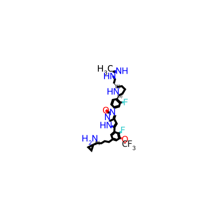 CC(=N)NCC[C@@H]1CCC[C@@H](c2ccc(-n3cc4cc(-c5cc(CCC[C@@H](N)C6CC6)cc(OC(F)(F)F)c5F)[nH]c4nc3=O)cc2F)N1